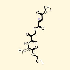 CCOC(=O)[C@H](C)NC(=O)C(=O)COC(=O)/C=C/C(=O)OC